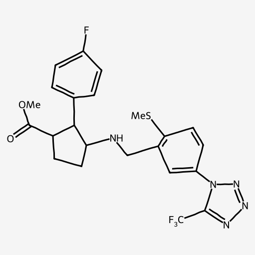 COC(=O)C1CCC(NCc2cc(-n3nnnc3C(F)(F)F)ccc2SC)C1c1ccc(F)cc1